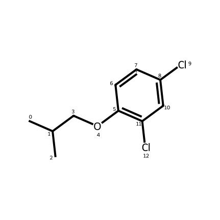 CC(C)COc1c[c]c(Cl)cc1Cl